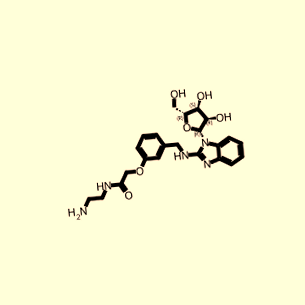 NCCNC(=O)COc1cccc(CNc2nc3ccccc3n2[C@@H]2O[C@H](CO)[C@@H](O)[C@H]2O)c1